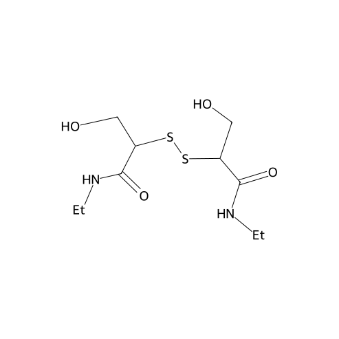 CCNC(=O)C(CO)SSC(CO)C(=O)NCC